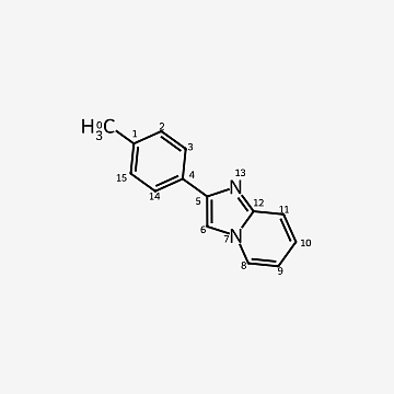 Cc1ccc(-c2cn3ccccc3n2)cc1